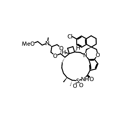 COCCN(C)[C@H]1CO[C@H]([C@H]2CCC[C@H](C)[C@@H](C)S(=O)(=O)NC(=O)c3ccc4c(c3)N(C[C@@H]3CC[C@H]32)C[C@@]2(CCCc3cc(Cl)ccc32)CO4)OC1